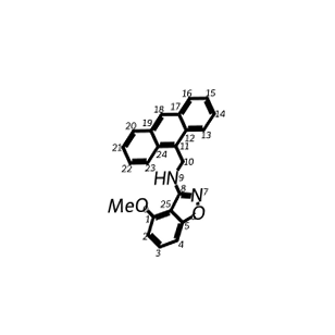 COc1cccc2onc(NCc3c4ccccc4cc4ccccc34)c12